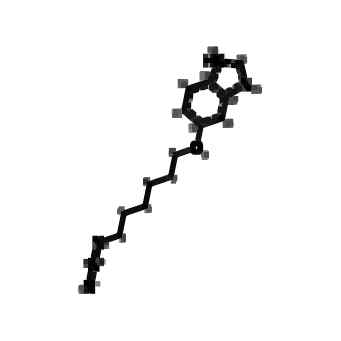 [N-]=[N+]=NCCCCCCOc1ccc2[nH]cnc2c1